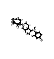 Cc1cc(F)ccc1N(C)C1N=NC2=C1CCN(c1cn[nH]c(=O)c1Cl)C2